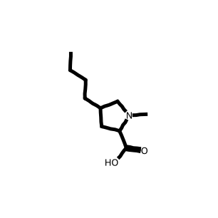 CCCCC1CC(C(=O)O)N(C)C1